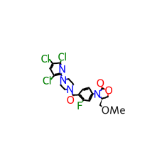 COC[C@@H]1COC(=O)N1c1ccc(C(=O)N2CCN(c3nc(Cl)c(Cl)cc3Cl)CC2)c(F)c1